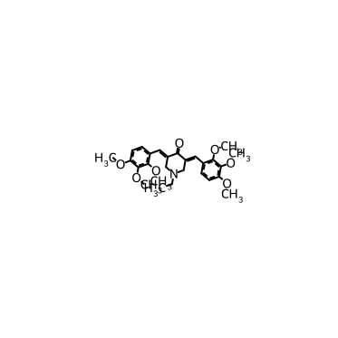 CCN1C/C(=C\c2ccc(OC)c(OC)c2OC)C(=O)/C(=C/c2ccc(OC)c(OC)c2OC)C1